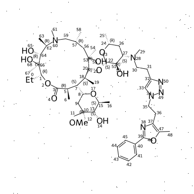 CC[C@H]1OC(=O)[C@H](C)[C@@H](C2C[C@@](C)(OC)[C@@H](O)[C@H](C)O2)[C@H](C)[C@@H](O[C@@H]2O[C@H](C)C[C@H](N(C)CCc3cn(CCc4nc(-c5ccccc5)oc4C)nn3)[C@H]2O)[C@](C)(O)C[C@@H](C)CN(C)[C@H](C)[C@@H](O)[C@]1(C)O